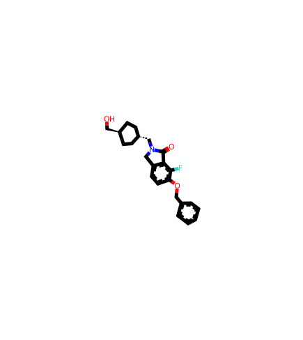 O=C1c2c(ccc(OCc3ccccc3)c2F)CN1C[C@H]1CC[C@H](CO)CC1